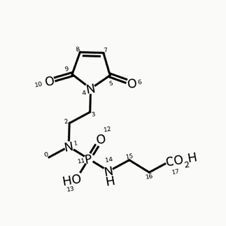 CN(CCN1C(=O)C=CC1=O)P(=O)(O)NCCC(=O)O